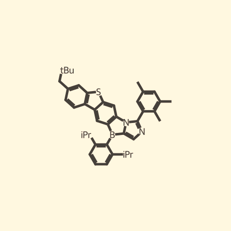 Cc1cc(C)c(C)c(-c2ncc3n2-c2cc4sc5cc(CC(C)(C)C)ccc5c4cc2B3c2c(C(C)C)cccc2C(C)C)c1